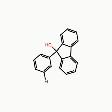 CCc1cccc(C2(O)c3ccccc3-c3ccccc32)c1